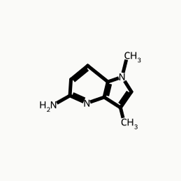 Cc1cn(C)c2ccc(N)nc12